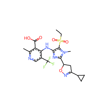 CCS(=O)(=O)c1c(Nc2c(C(F)(F)F)cnc(C)c2C(=O)O)nc(C2CC(C3CC3)=NO2)n1C